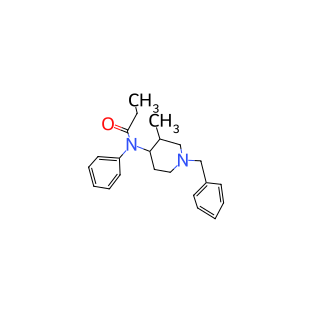 CCC(=O)N(c1ccccc1)C1CCN(Cc2ccccc2)CC1C